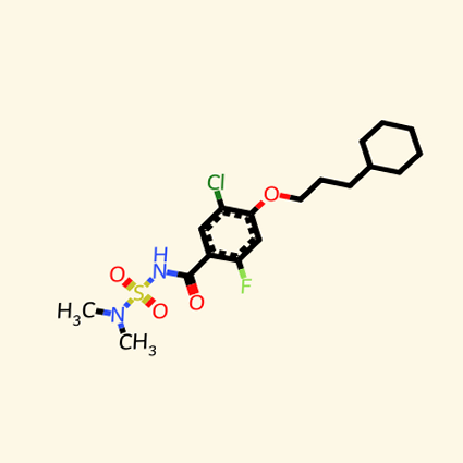 CN(C)S(=O)(=O)NC(=O)c1cc(Cl)c(OCCCC2CCCCC2)cc1F